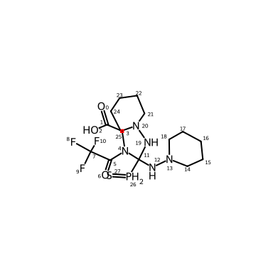 O=C(O)CN(C(=O)C(F)(F)F)C(NN1CCCCC1)(NN1CCCCC1)[PH2]=S